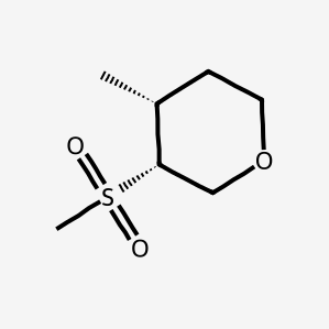 C[C@@H]1CCOC[C@@H]1S(C)(=O)=O